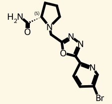 NC(=O)[C@@H]1CCCN1Cc1nnc(-c2ccc(Br)cn2)o1